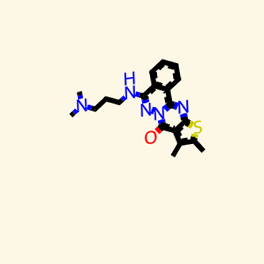 Cc1sc2nc3c4ccccc4c(NCCCN(C)C)nn3c(=O)c2c1C